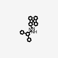 C=N/C(=N\C(=N)c1cc(-c2ccccc2)cc(-c2ccccc2)c1)c1ccc2c(c1)C1(c3ccccc3-c3ccccc31)c1ccccc1-2